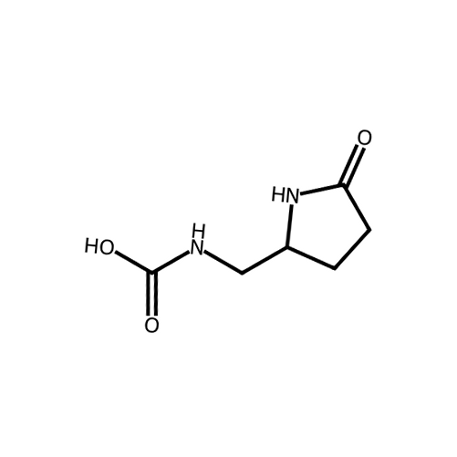 O=C(O)NCC1CCC(=O)N1